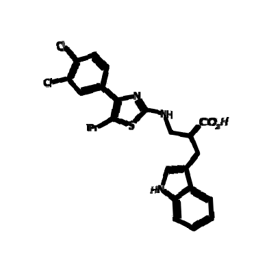 CC(C)c1sc(NCC(Cc2c[nH]c3ccccc23)C(=O)O)nc1-c1ccc(Cl)c(Cl)c1